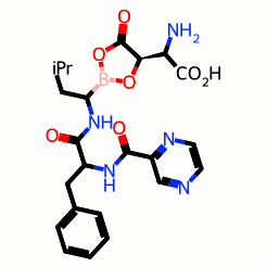 CC(C)CC(NC(=O)C(Cc1ccccc1)NC(=O)c1cnccn1)B1OC(=O)[C@@H](C(N)C(=O)O)O1